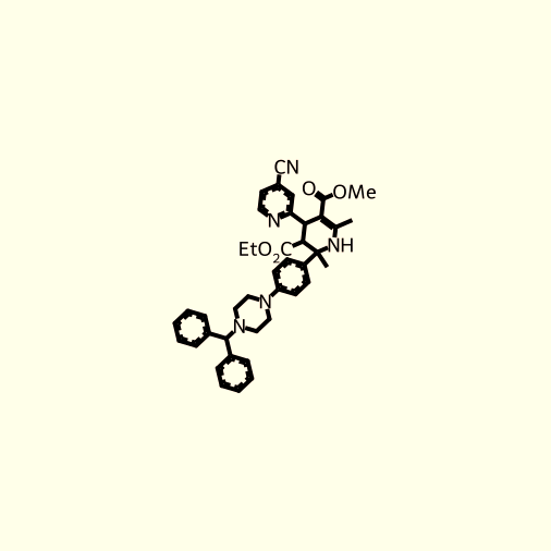 CCOC(=O)C1C(c2cc(C#N)ccn2)C(C(=O)OC)=C(C)NC1(C)c1ccc(N2CCN(C(c3ccccc3)c3ccccc3)CC2)cc1